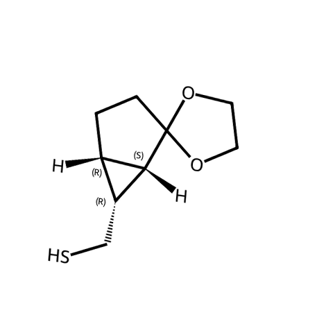 SC[C@@H]1[C@@H]2CCC3(OCCO3)[C@H]12